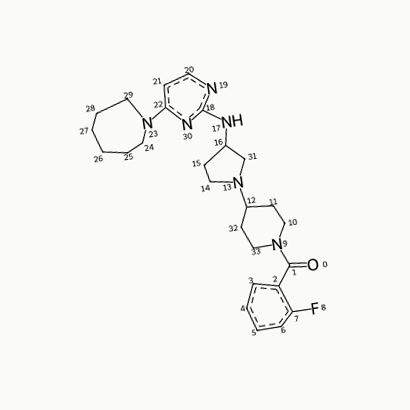 O=C(c1ccccc1F)N1CCC(N2CCC(Nc3nccc(N4CCCCCC4)n3)C2)CC1